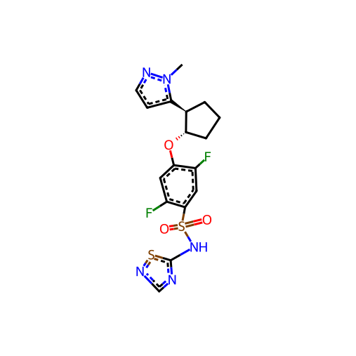 Cn1nccc1[C@H]1CCC[C@@H]1Oc1cc(F)c(S(=O)(=O)Nc2ncns2)cc1F